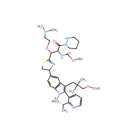 CCn1c(-c2cccnc2[C@H](C)OC)c(CC(C)(C)COC=O)c2cc(C3CSC([C@@H](OCCN(C)C)[C@H](NC(=O)OC(C)(C)C)C(=O)N4CCCCN4)=N3)ccc21